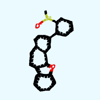 C[S+]([O-])c1ccccc1-c1ccc2ccc3c4ccccc4oc3c2c1